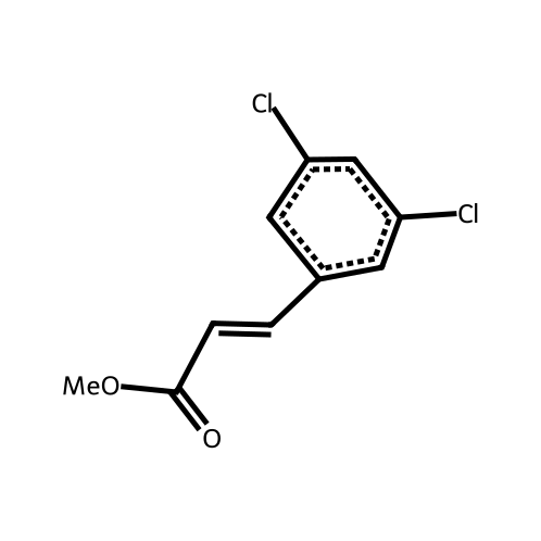 COC(=O)C=Cc1cc(Cl)cc(Cl)c1